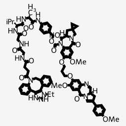 CCN1NNC2=C1c1ccccc1CN(C(=O)CCC(=O)NCC(=O)NCC(=O)N[C@H](C(=O)N[C@@H](C)C(=O)Nc1ccc(COC(=O)N3c4cc(OCCCOc5cc6c(cc5OC)C(=O)N5C=C(c7ccc(OC)cc7)C[C@H]5C=N6)c(OC)cc4C(=O)N4CC5(CC5)C[C@H]4C3O)cc1)C(C)C)c1ccccc12